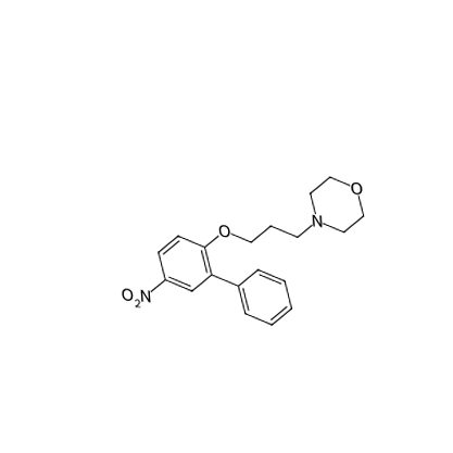 O=[N+]([O-])c1ccc(OCCCN2CCOCC2)c(-c2ccccc2)c1